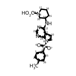 Cc1ccc(S(=O)(=O)n2ccc3c(NC4CCCN(C(=O)O)C4)ncnc32)cc1